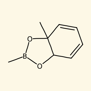 CB1OC2C=CC=CC2(C)O1